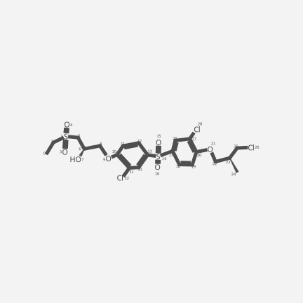 CCS(=O)(=O)C[C@H](O)COc1ccc(S(=O)(=O)c2ccc(OC[C@H](C)CCl)c(Cl)c2)cc1Cl